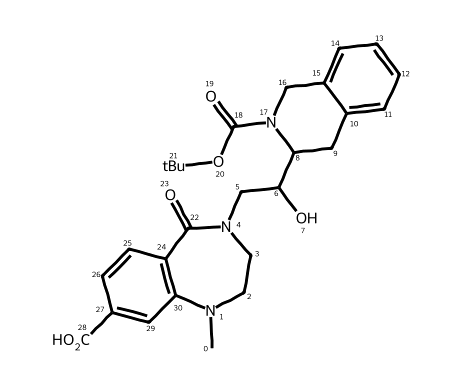 CN1CCN(CC(O)C2Cc3ccccc3CN2C(=O)OC(C)(C)C)C(=O)c2ccc(C(=O)O)cc21